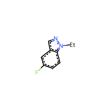 CCn1ncc2cc(F)[c]cc21